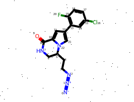 [N-]=[N+]=NCCC1CNC(=O)c2cc(-c3cc(Cl)ccc3F)cn21